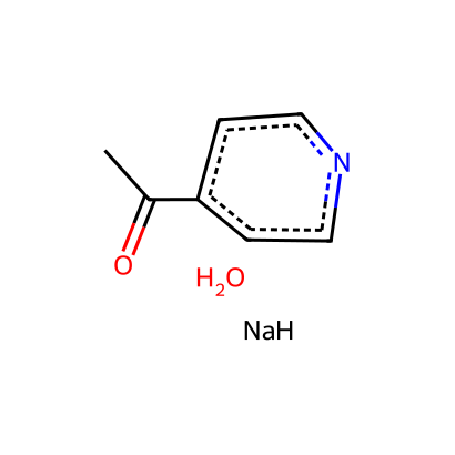 CC(=O)c1ccncc1.O.[NaH]